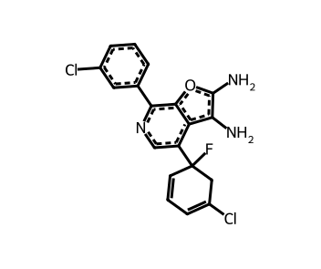 Nc1oc2c(-c3cccc(Cl)c3)ncc(C3(F)C=CC=C(Cl)C3)c2c1N